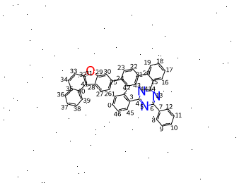 c1ccc(-c2nc(-c3ccccc3)nc(-c3ccccc3-c3ccc(-c4ccc5c(c4)oc4ccc6ccccc6c45)cc3)n2)cc1